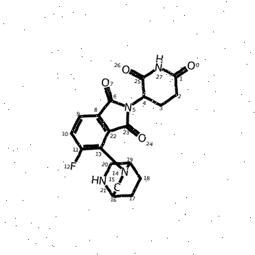 O=C1CCC(N2C(=O)c3ccc(F)c(N4CC5CCC4CN5)c3C2=O)C(=O)N1